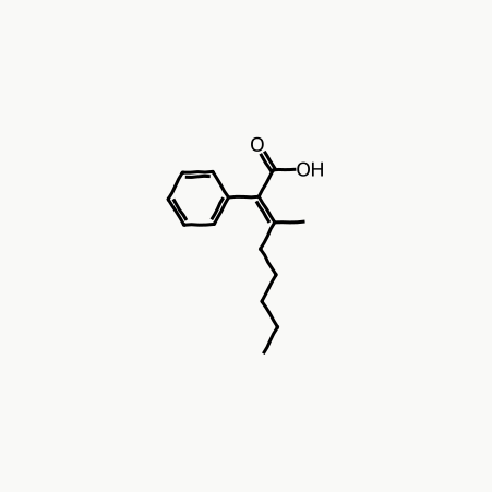 CCCCCC(C)=C(C(=O)O)c1ccccc1